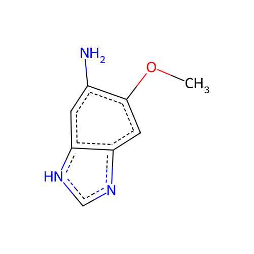 COc1cc2nc[nH]c2cc1N